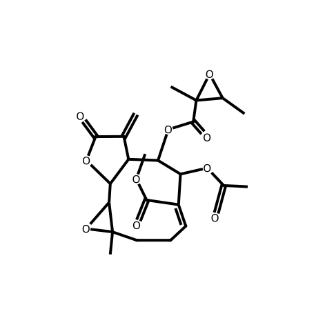 C=C1C(=O)OC2C1C(OC(=O)C1(C)OC1C)C(OC(C)=O)/C(C(=O)OC)=C/CCC1(C)OC21